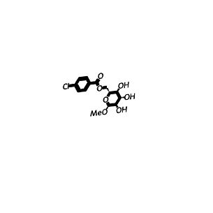 CO[C@@H]1O[C@H](COC(=O)c2ccc(Cl)cc2)[C@@H](O)[C@H](O)[C@H]1O